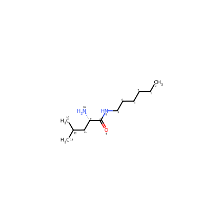 CCCCCCNC(=O)[C@@H](N)CC(C)C